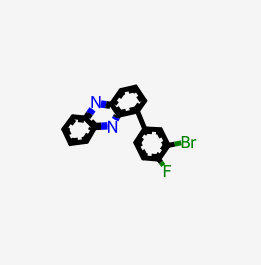 Fc1ccc(-c2cccc3nc4ccccc4nc23)cc1Br